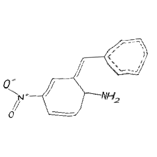 NC1C=CC([N+](=O)[O-])=CC1=Cc1ccccc1